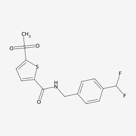 CS(=O)(=O)c1ccc(C(=O)NCc2ccc(C(F)F)cc2)s1